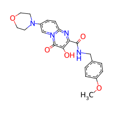 COc1ccc(CNC(=O)c2nc3ccc(N4CCOCC4)cn3c(=O)c2O)cc1